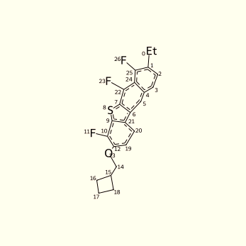 CCc1ccc2cc3c(sc4c(F)c(OCC5CCC5)ccc43)c(F)c2c1F